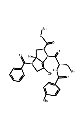 CC(C)C[C@H](NC(=O)c1ccc(C(C)(C)C)cc1)C(=O)N1C2=C(O)CN(C(=O)c3ccccc3)[C@@H]2CN1C(=O)OC(C)(C)C